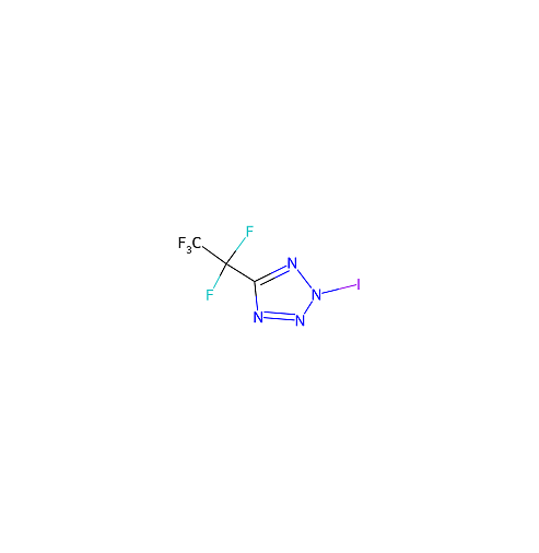 FC(F)(F)C(F)(F)c1nnn(I)n1